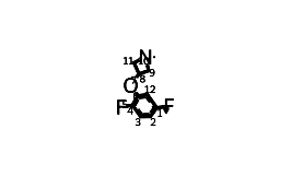 Fc1ccc(F)c(OC2C[N]C2)c1